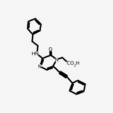 O=C(O)Cn1c(C#Cc2ccccc2)cnc(NCCc2ccccc2)c1=O